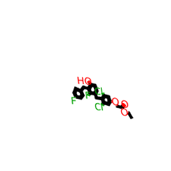 CCOC(=O)COc1cc(Cl)c(Cc2ccc(O)c(Cc3ccc(F)cc3)c2F)c(Cl)c1